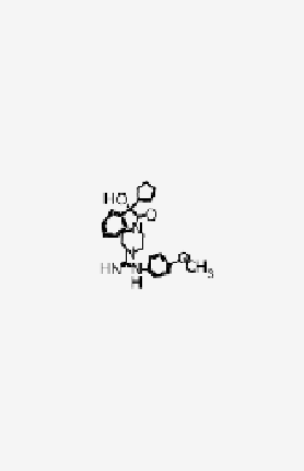 COc1ccc(NC(=N)N2CCN(C(=O)[C@](O)(c3ccccc3)C3CCCC3)CC2)cc1